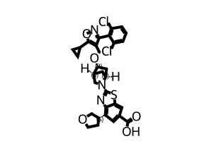 O=C(O)c1cc([C@@H]2CCOC2)c2nc(N3C[C@@H]4C[C@H]3C[C@H]4OCc3c(-c4c(Cl)cccc4Cl)noc3C3CC3)sc2c1